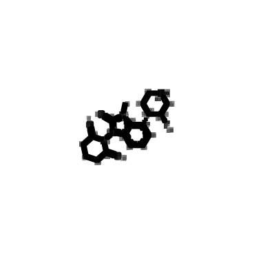 Cn1c(=O)n(N2C(=O)CCCC2=O)c2cccc([C@@H]3CCNC[C@H]3F)c21